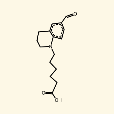 O=Cc1ccc2c(c1)CCCN2CCCCCC(=O)O